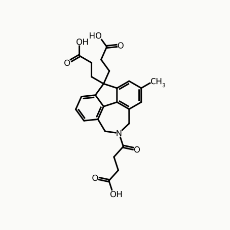 Cc1cc2c3c(c1)C(CCC(=O)O)(CCC(=O)O)c1cccc(c1-3)CN(C(=O)CCC(=O)O)C2